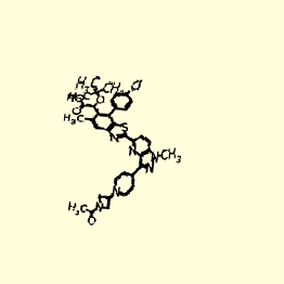 CC(=O)N1CC(N2CCC(c3nn(C)c4ccc(-c5nc6cc(C)c([C@H](OC(C)(C)C)C(=O)O)c(-c7ccc(Cl)cc7)c6s5)nc34)CC2)C1